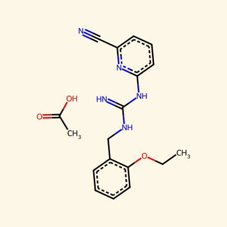 CC(=O)O.CCOc1ccccc1CNC(=N)Nc1cccc(C#N)n1